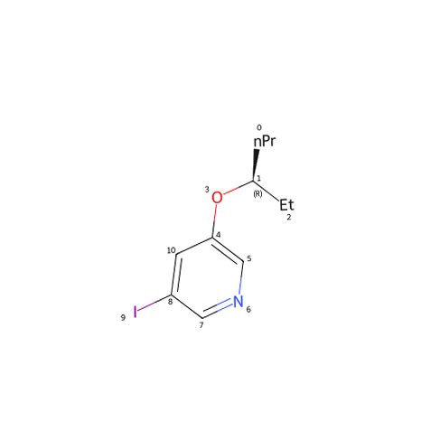 CCC[C@@H](CC)Oc1cncc(I)c1